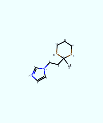 CCC1(CCn2ccnc2)SCCCS1